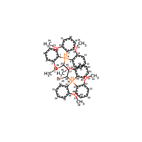 COc1ccccc1[PH](c1ccccc1OC)(c1ccccc1OC)C(Br)CC(Br)[PH](c1ccccc1OC)(c1ccccc1OC)c1ccccc1OC